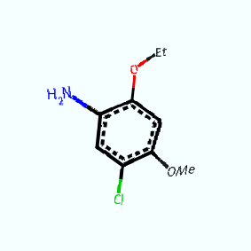 CCOc1cc(OC)c(Cl)cc1N